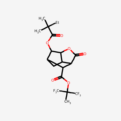 CCC(C)(C)C(=O)OC1C2CC3C1OC(=O)C3C2C(=O)OC(C)(C(F)(F)F)C(F)(F)F